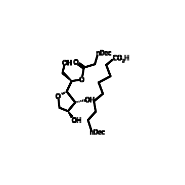 CCCCCCCCCCCC(=O)O[C@H](CO)[C@H]1OC[C@H](O)[C@H]1O.CCCCCCCCCCCCCCCCCC(=O)O